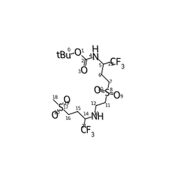 CC(C)(C)OC(=O)NC(CCS(=O)(=O)CCNC(CCS(C)(=O)=O)C(F)(F)F)C(F)(F)F